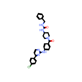 O=C(NCc1ccccc1)NC1CCN(C(=O)c2ccc(Nc3nccc(-c4ccc(Cl)cc4)n3)cc2)CC1